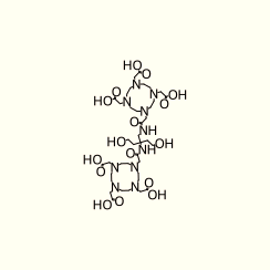 O=C(O)CN1CCN(CC(=O)O)CCN(CC(=O)NCC(CCO)(CCO)NC(=O)CN2CCN(CC(=O)O)CCN(CC(=O)O)CCN(CC(=O)O)CC2)CCN(CC(=O)O)CC1